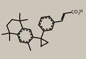 Cc1cc2c(cc1C1(c3cccc(C=CC(=O)O)c3)CC1)C(C)(C)CCC2(C)C